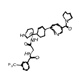 O=C(CNC(=O)c1cccc(C(F)(F)F)c1)N[C@@]1(C2CCC(c3ccc(C(=O)N4CCCC4)cn3)CC2)CCNC1